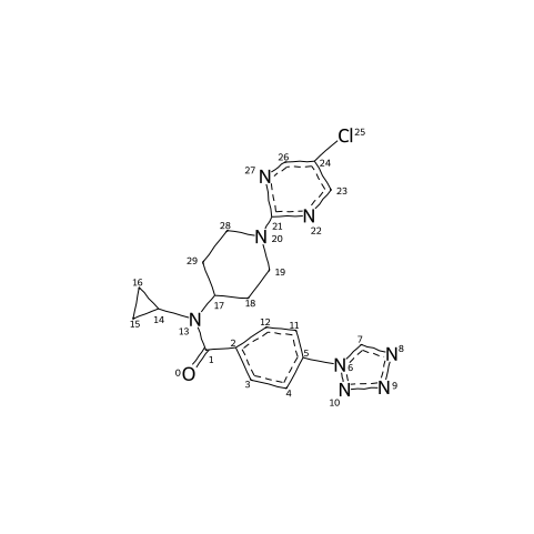 O=C(c1ccc(-n2cnnn2)cc1)N(C1CC1)C1CCN(c2ncc(Cl)cn2)CC1